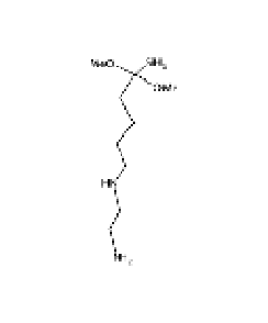 COC([SiH3])(CCCCNCCN)OC